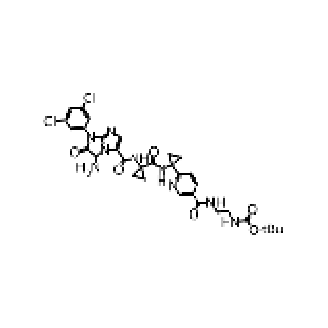 CC(C)(C)OC(=O)NCCNC(=O)c1ccc(C2(NC(=O)C3(NC(=O)c4cnc5n4[C@@H](N)C(=O)N5c4cc(Cl)cc(Cl)c4)CC3)CC2)nc1